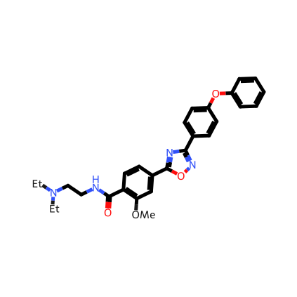 CCN(CC)CCNC(=O)c1ccc(-c2nc(-c3ccc(Oc4ccccc4)cc3)no2)cc1OC